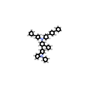 c1ccc(-c2ccc(-c3ccc(N(c4ccc(-c5ccccc5)cc4)c4ccc(-c5ccc6c(c5)c5ccccc5n6-c5ccccc5)c(-c5ccccc5)c4)cc3)cc2)cc1